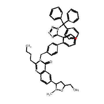 CCCCc1nc2ccc(C3CC(CO)ON3C)cc2c(=O)n1Cc1ccc(-c2ccccc2-c2nnnn2C(c2ccccc2)(c2ccccc2)c2ccccc2)cc1